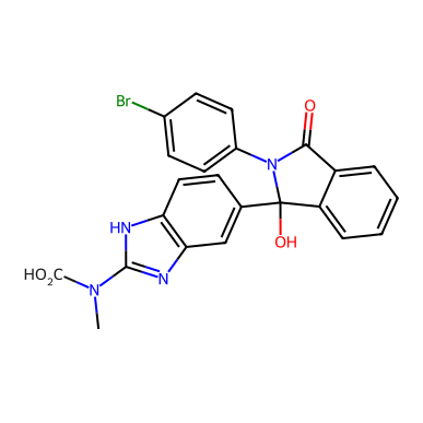 CN(C(=O)O)c1nc2cc(C3(O)c4ccccc4C(=O)N3c3ccc(Br)cc3)ccc2[nH]1